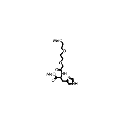 COCCOCCOCC(=O)NC(Cc1c[nH]cn1)C(=O)OC